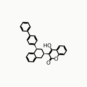 O=c1oc2ccccc2c(O)c1[C@H]1Cc2ccccc2[C@@H](c2ccc(-c3ccccc3)cc2)C1